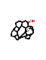 OC1CC2CCC3C4CCC5C6CCC7CC1C1CC8CCC8C7C6C5C4C3C21